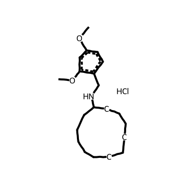 COc1ccc(CNC2CCCCCCCCCCC2)c(OC)c1.Cl